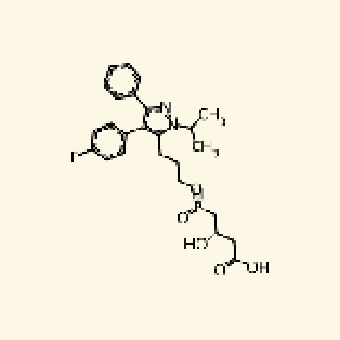 CC(C)n1nc(-c2ccccc2)c(-c2ccc(F)cc2)c1CCCO[PH](=O)C[C@@H](O)CC(=O)O